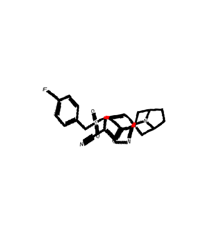 N#Cc1ccc(N2C3CCC2CN(C(=O)CS(=O)(=O)Cc2ccc(F)cc2)C3)nc1